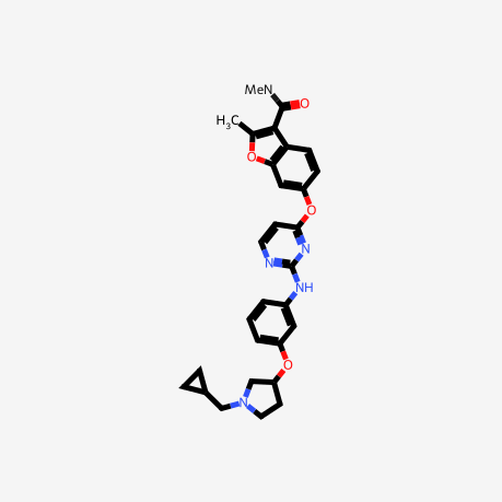 CNC(=O)c1c(C)oc2cc(Oc3ccnc(Nc4cccc(OC5CCN(CC6CC6)C5)c4)n3)ccc12